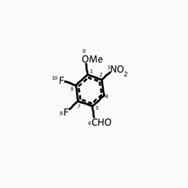 COc1c([N+](=O)[O-])cc(C=O)c(F)c1F